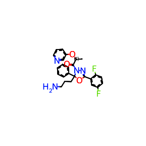 C[C@H](Oc1cccnc1)C(=O)N1N=C(c2cc(F)ccc2F)OC1(CCCN)c1ccccc1